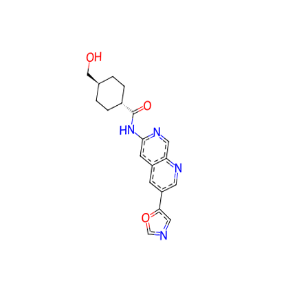 O=C(Nc1cc2cc(-c3cnco3)cnc2cn1)[C@H]1CC[C@H](CO)CC1